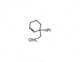 CCCC1(CC=O)C=CCCC1